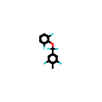 Cc1c(F)cc(C(F)(F)Oc2c(F)cccc2F)cc1F